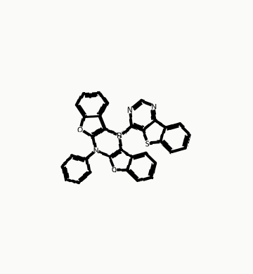 c1ccc(N2c3oc4ccccc4c3B(c3ncnc4c3sc3ccccc34)c3c2oc2ccccc32)cc1